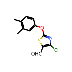 Cc1ccc(Oc2nc(Cl)c(C=O)s2)cc1C